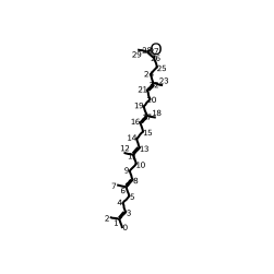 CC(C)=CCC/C(C)=C/CC/C(C)=C/CC/C=C(\C)CC/C=C(\C)CCC1OC1C